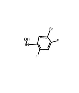 ONc1cc(Br)c(F)cc1F